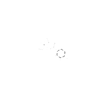 CCP(=O)(CC)OC(C)c1ccc(F)cc1